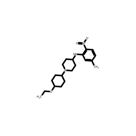 CCOC1CCC(N2CCC(Nc3cc(C)ccc3[N+](=O)[O-])CC2)CC1